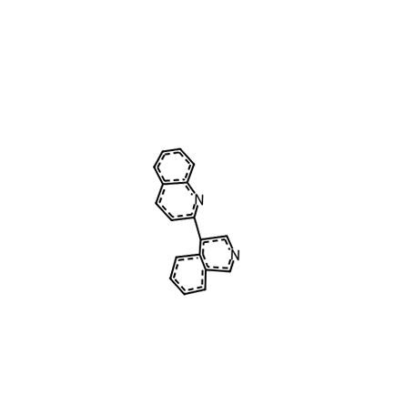 c1ccc2nc(-c3cncc4ccccc34)ccc2c1